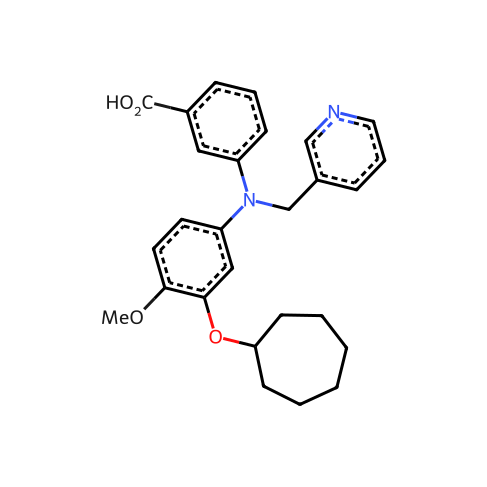 COc1ccc(N(Cc2cccnc2)c2cccc(C(=O)O)c2)cc1OC1CCCCCC1